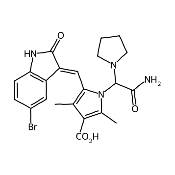 Cc1c(C(=O)O)c(C)n(C(C(N)=O)N2CCCC2)c1C=C1C(=O)Nc2ccc(Br)cc21